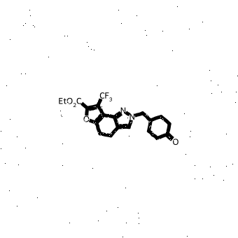 CCOC(=O)c1oc2c(c1C(F)(F)F)-c1nn(CC3CCC(=O)CC3)cc1CC2